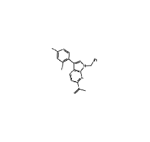 C=C(C)c1ccc2c(-c3ccc(C)cc3F)cn(CC(C)C)c2n1